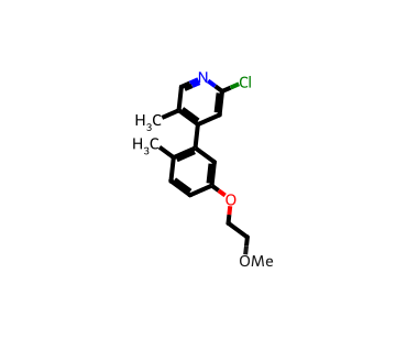 COCCOc1ccc(C)c(-c2cc(Cl)ncc2C)c1